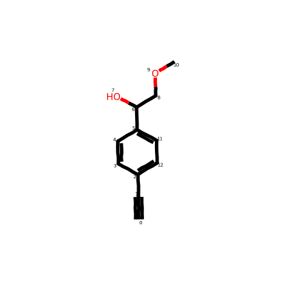 C#Cc1ccc(C(O)COC)cc1